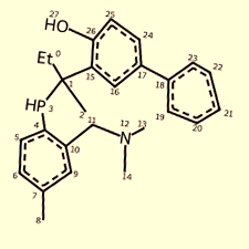 CCC(C)(Pc1ccc(C)cc1CN(C)C)c1cc(-c2ccccc2)ccc1O